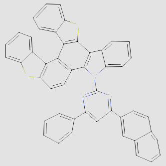 c1ccc(-c2cc(-c3ccc4ccccc4c3)nc(-n3c4ccccc4c4c5sc6ccccc6c5c5c(ccc6sc7ccccc7c65)c43)n2)cc1